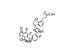 CC1(c2c[nH]c(-c3cc(Oc4c(F)c(F)c5[nH]ccc5c4S(C)(=N)=O)ccc3F)n2)CCOc2c(CCC(=O)O)cccc21